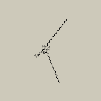 CCCCCCCCCCCCCCCCCC(=O)NC(=CNCCN)NC(=O)CCCCCCCCCCCCCCCCC